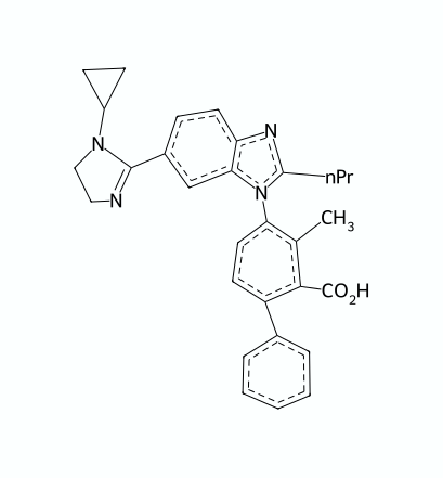 CCCc1nc2ccc(C3=NCCN3C3CC3)cc2n1-c1ccc(-c2ccccc2)c(C(=O)O)c1C